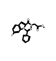 COC(=O)Cn1nc(-c2ccccc2)n2c(cc3ccc(F)cc32)c1=O